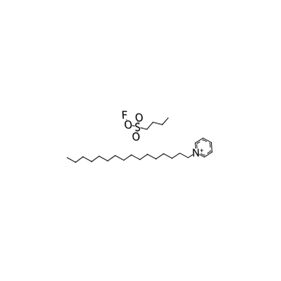 CCCCCCCCCCCCCCCC[n+]1ccccc1.CCCCS(=O)(=O)OF